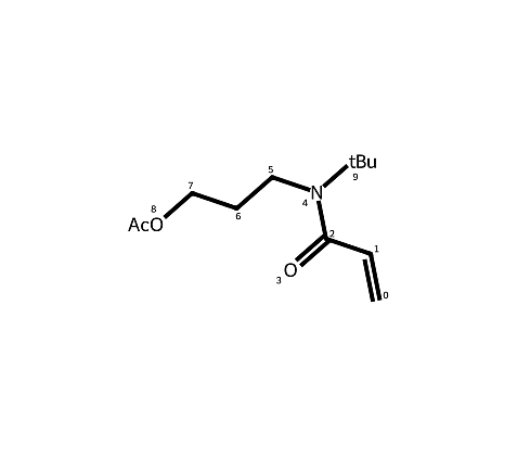 C=CC(=O)N(CCCOC(C)=O)C(C)(C)C